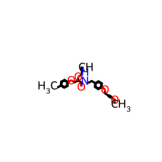 C#CCOC(COc1ccc(CC)cc1)C(=O)NCCc1ccc(OCC#COC)cc1